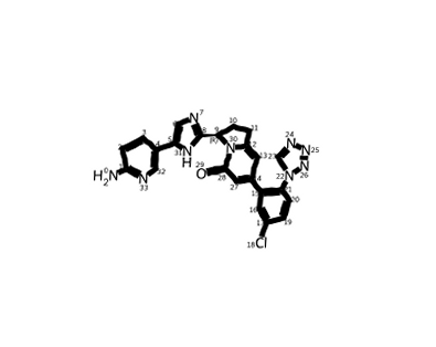 Nc1ccc(-c2cnc([C@H]3CCc4cc(-c5cc(Cl)ccc5-n5cnnn5)cc(=O)n43)[nH]2)cn1